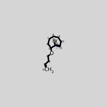 C=CCCOC1CCCCC/C=C/1Br